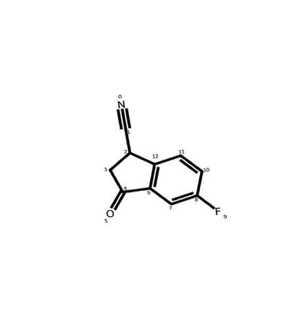 N#CC1CC(=O)c2cc(F)ccc21